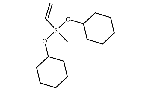 C=C[Si](C)(OC1CCCCC1)OC1CCCCC1